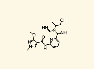 COc1nn(C)cc1C(=O)Nc1cccc(C(=N)N(C=N)C(C)CO)n1